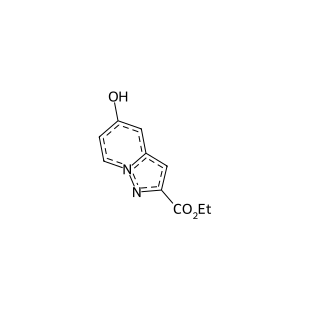 CCOC(=O)c1cc2cc(O)ccn2n1